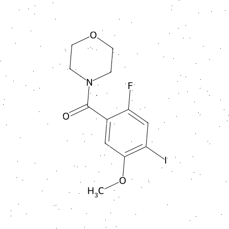 COc1cc(C(=O)N2CCOCC2)c(F)cc1I